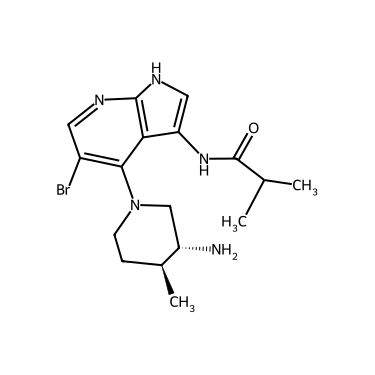 CC(C)C(=O)Nc1c[nH]c2ncc(Br)c(N3CC[C@H](C)[C@@H](N)C3)c12